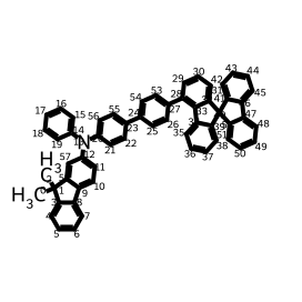 CC1(C)c2ccccc2-c2ccc(N(c3ccccc3)c3ccc(-c4ccc(-c5cccc6c5-c5ccccc5C65c6ccccc6-c6ccccc65)cc4)cc3)cc21